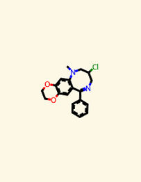 CN1CC(Cl)C/N=C(/c2ccccc2)c2cc3c(cc21)OCCO3